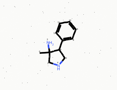 CC1(N)CNCC1c1ccccc1